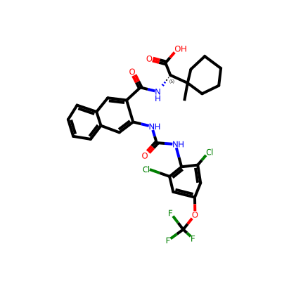 CC1([C@H](NC(=O)c2cc3ccccc3cc2NC(=O)Nc2c(Cl)cc(OC(F)(F)F)cc2Cl)C(=O)O)CCCCC1